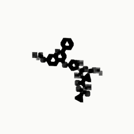 C=C[C@@H]1C[C@]1(NC(=O)[C@@H]1C[C@@H](Oc2cc(-c3ccccc3)nc3cc(OC)ccc23)CN1)C(=O)NS(=O)(=O)C1CC1